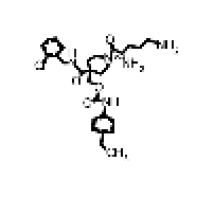 CCc1ccc(NC(=O)OCC2(C(=O)NCc3ccccc3Cl)CCN(C(=O)[C@@H](N)CCCN)CC2)cc1